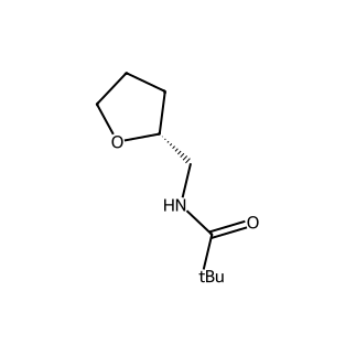 CC(C)(C)C(=O)NC[C@H]1CCCO1